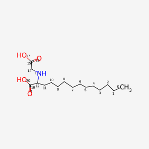 CCCCCCCCCCCCC(NCC(=O)O)C(=O)O